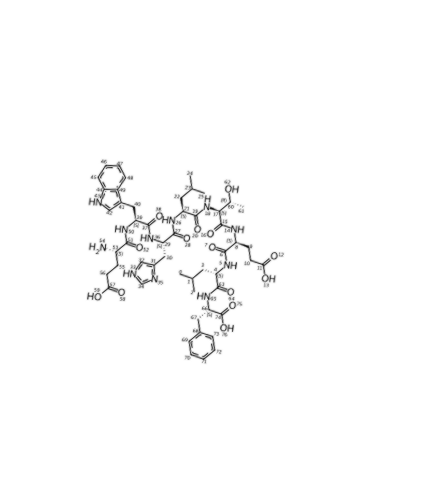 CC(C)C[C@H](NC(=O)[C@H](CCC(=O)O)NC(=O)[C@@H](NC(=O)[C@H](CC(C)C)NC(=O)[C@H](Cc1c[nH]cn1)NC(=O)[C@H](Cc1c[nH]c2ccccc12)NC(=O)[C@@H](N)CCC(=O)O)[C@@H](C)O)C(=O)N[C@@H](Cc1ccccc1)C(=O)O